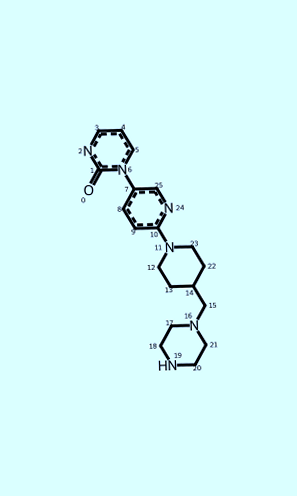 O=c1ncccn1-c1ccc(N2CCC(CN3CCNCC3)CC2)nc1